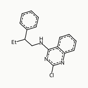 CCC(CNc1nc(Cl)nc2ccccc12)c1ccccc1